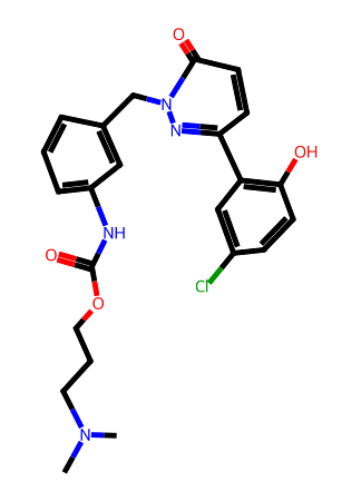 CN(C)CCCOC(=O)Nc1cccc(Cn2nc(-c3cc(Cl)ccc3O)ccc2=O)c1